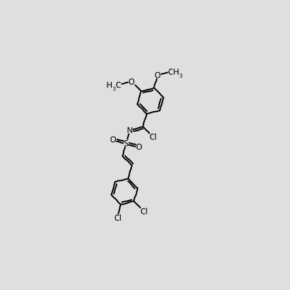 COc1ccc(C(Cl)=NS(=O)(=O)C=Cc2ccc(Cl)c(Cl)c2)cc1OC